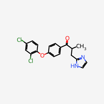 CC(Cc1ncc[nH]1)C(=O)c1ccc(Oc2ccc(Cl)cc2Cl)cc1